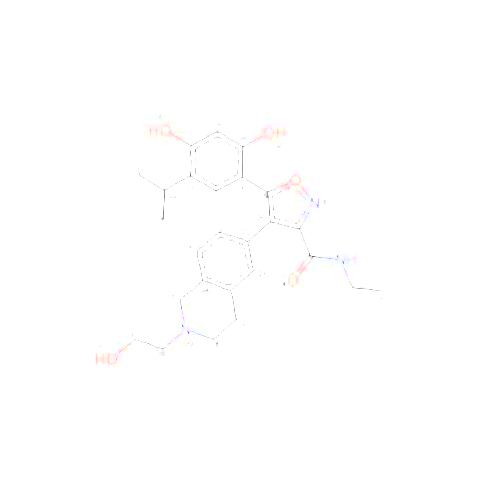 CCNC(=O)c1noc(-c2cc(C(C)C)c(O)cc2O)c1-c1ccc2c(c1)CCN(CCO)C2